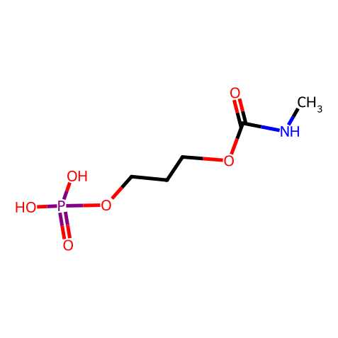 CNC(=O)OCCCOP(=O)(O)O